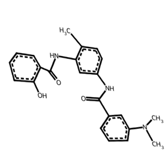 Cc1ccc(NC(=O)c2cccc(N(C)C)c2)cc1NC(=O)c1ccccc1O